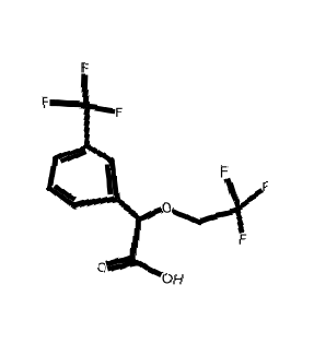 O=C(O)C(OCC(F)(F)F)c1cccc(C(F)(F)F)c1